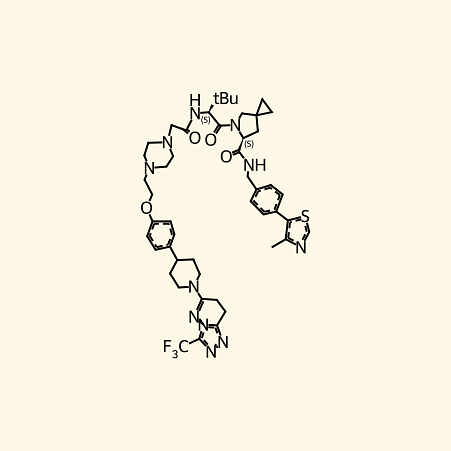 Cc1ncsc1-c1ccc(CNC(=O)[C@@H]2CC3(CC3)CN2C(=O)[C@@H](NC(=O)CN2CCN(CCOc3ccc(C4CCN(C5=Nn6c(nnc6C(F)(F)F)CC5)CC4)cc3)CC2)C(C)(C)C)cc1